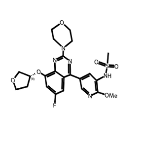 COc1ncc(-c2nc(N3CCOCC3)nc3c(O[C@@H]4CCOC4)cc(F)cc23)cc1NS(C)(=O)=O